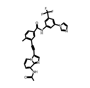 CC(=O)Nc1cccn2c(C#Cc3cc(C(=O)Nc4cc(-n5ccnc5)cc(C(F)(F)F)c4)ccc3C)cnc12